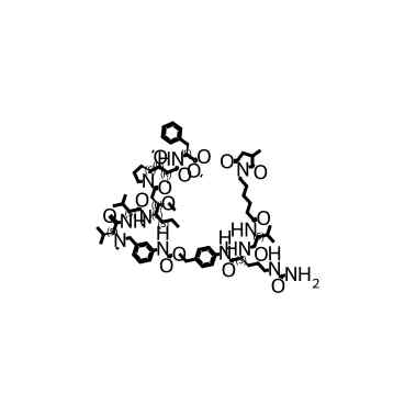 CC[C@H](C)[C@@H]([C@@H](CC(=O)N1CCC[C@H]1[C@H](OC)[C@@H](C)C(=O)N[C@@H](Cc1ccccc1)C(=O)OC)OC)N(C)C(=O)[C@@H](NC(=O)[C@H](C(C)C)N(C)Cc1cccc(NC(=O)OCc2ccc(NC(=O)[C@H](CCCNC(N)=O)NC(=O)[C@@H](NC(=O)CCCCCN3C(=O)CC(C)C3=O)C(C)C)cc2)c1)C(C)C